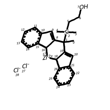 CC1([Si](C)(C)CCO)C2=Cc3ccccc3[CH]2[Zr+2][CH]2C1=Cc1ccccc12.[Cl-].[Cl-]